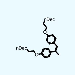 CCCCCCCCCCCCOc1ccc(C=C(C)c2ccc(OCCCCCCCCCCCC)cc2)cc1